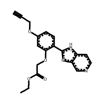 C#CCOc1ccc(-c2nc3cnccc3[nH]2)c(OCC(=O)OCC)c1